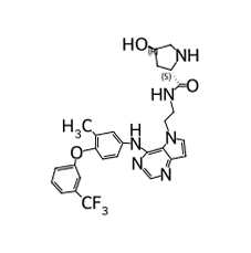 Cc1cc(Nc2ncnc3ccn(CCNC(=O)[C@@H]4C[C@@H](O)CN4)c23)ccc1Oc1cccc(C(F)(F)F)c1